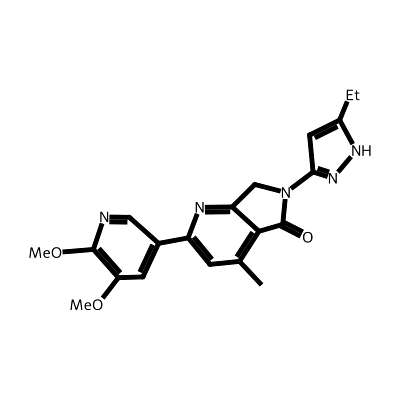 CCc1cc(N2Cc3nc(-c4cnc(OC)c(OC)c4)cc(C)c3C2=O)n[nH]1